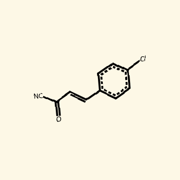 N#CC(=O)C=Cc1ccc(Cl)cc1